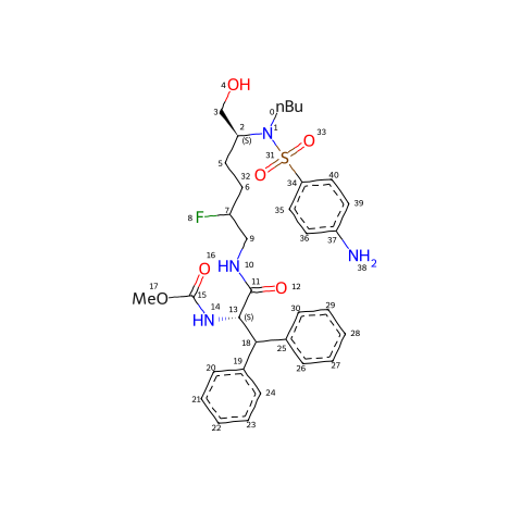 CCCCN([C@H](CO)CCC(F)CNC(=O)[C@@H](NC(=O)OC)C(c1ccccc1)c1ccccc1)S(=O)(=O)c1ccc(N)cc1